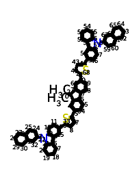 CC1(C)c2cc(-c3ccc(-c4ccc5c(c4)c4ccccc4n5-c4ccc5ccccc5c4)s3)ccc2-c2ccc(C3CC=C(c4ccc5c(c4)c4ccccc4n5-c4ccc5ccccc5c4)S3)cc21